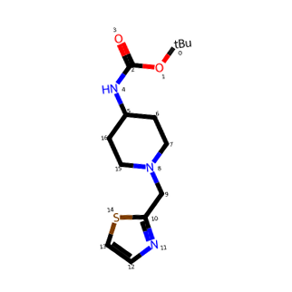 CC(C)(C)OC(=O)NC1CCN(Cc2nccs2)CC1